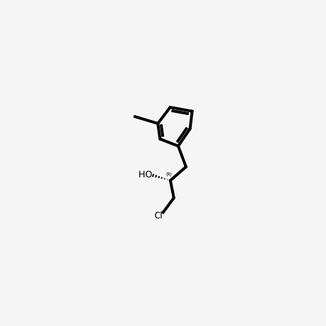 Cc1cccc(C[C@@H](O)CCl)c1